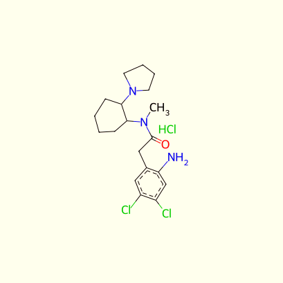 CN(C(=O)Cc1cc(Cl)c(Cl)cc1N)C1CCCCC1N1CCCC1.Cl